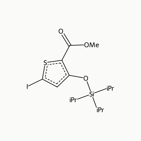 COC(=O)c1sc(I)cc1O[Si](C(C)C)(C(C)C)C(C)C